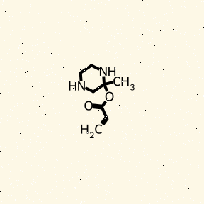 C=CC(=O)OC1(C)CNCCN1